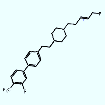 FC/C=C/CCC1CCC(CCc2ccc(-c3ccc(C(F)(F)F)c(F)c3)cc2)CC1